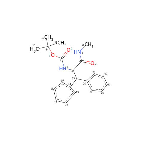 CNC(=O)C(NC(=O)OC(C)(C)C)C(c1ccccc1)c1ccccc1